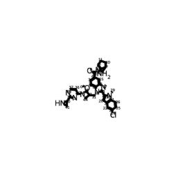 COc1cc(C(=O)N2CC3CCC2C3N)cc2nc(-c3cc4cc(Cl)ccc4n3C)n(CC3CN(c4ccnc(C5CN5)n4)C3)c12